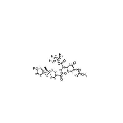 CC(=O)Nc1cc2c(cc1Cl)N(C(=O)OC(C)(C)C)CC(C(=O)N1CCC(C#N)(Cc3ccc(F)cc3)CC1)O2